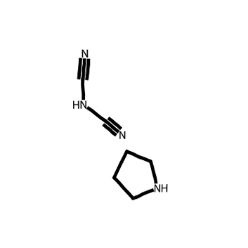 C1CCNC1.N#CNC#N